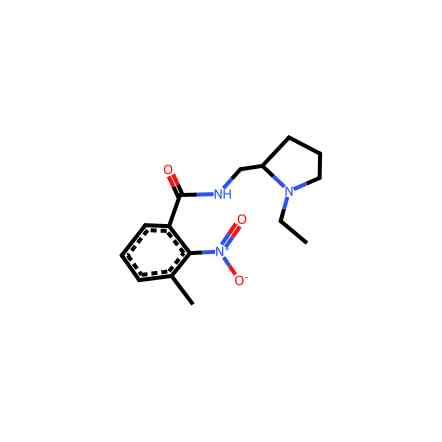 CCN1CCCC1CNC(=O)c1cccc(C)c1[N+](=O)[O-]